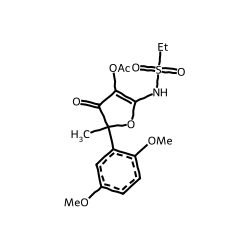 CCS(=O)(=O)NC1=C(OC(C)=O)C(=O)C(C)(c2cc(OC)ccc2OC)O1